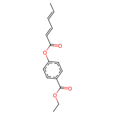 CC=CC=CC(=O)Oc1ccc(C(=O)OCC)cc1